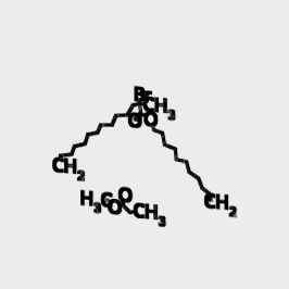 C=CCCCCCCCCCCC(C)(Br)C(=O)OCCCCCCCCCC=C.CCC(=O)OC